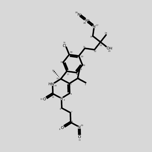 CC(C)C1=CN(CCC(=O)N=O)C(=O)N[C@@]1(C)c1ccc(CCC(C)(O)CN=[N+]=[N-])c(Cl)c1